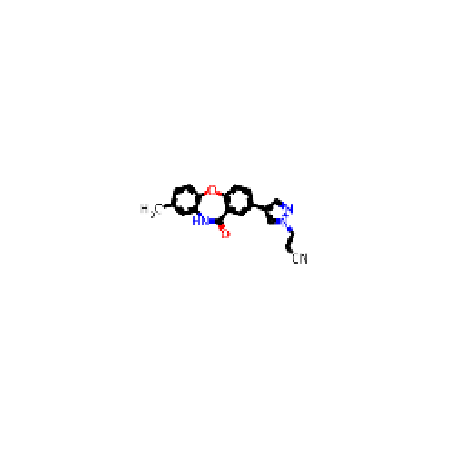 Cc1ccc2c(c1)NC(=O)c1cc(-c3cnn(CCC#N)c3)ccc1O2